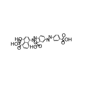 O=S(=O)(O)c1ccc(/N=N/c2ccc(/N=N/c3ccc(O)c4c(S(=O)(=O)O)cccc34)c(S(=O)(=O)O)c2)cc1